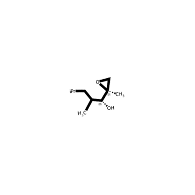 CC(C)CC(C)[C@@H](O)[C@]1(C)CO1